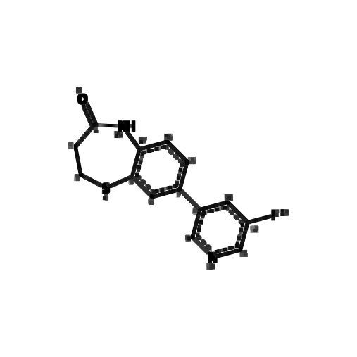 O=C1CCSc2cc(-c3cncc(F)c3)ccc2N1